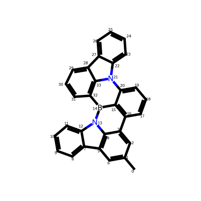 Cc1cc2c3c(c1)c1ccccc1n3B1c3c-2cccc3-n2c3ccccc3c3cccc1c32